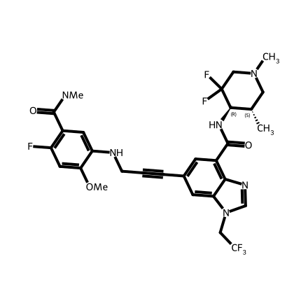 CNC(=O)c1cc(NCC#Cc2cc(C(=O)N[C@@H]3[C@@H](C)CN(C)CC3(F)F)c3ncn(CC(F)(F)F)c3c2)c(OC)cc1F